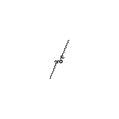 CCCCCCCCCCCCCCN(CC)Cc1ccccc1CN(CC)CCCCCCCCCCCCCC